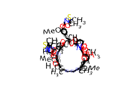 CO[C@H]1C[C@@H]2CC[C@@H](C)[C@@](O)(O2)C(=O)C(=O)N2CCCC[C@H]2C(=O)O[C@H]([C@H](C)C[C@@H]2CC[C@@H](OC(=O)C[n+]3csc(C)c3C)[C@H](OC)C2)CC(=O)[C@H](C)/C=C(\C)[C@@H](OC(=O)C[n+]2csc(C)c2C)[C@@H](OC)C(=O)[C@H](C)C[C@H](C)/C=C/C=C/C=C/1C